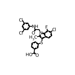 Cc1c(Sc2cccc(C(=O)O)c2)c2ccc(Cl)c(F)c2n1CC(=O)Nc1cc(Cl)cc(Cl)c1